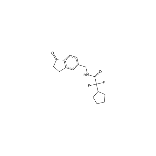 O=C1CCc2cc(CNC(=O)C(F)(F)C3CCCC3)ccc21